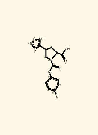 O=C(O)C1CC(c2nnn[nH]2)CN1C(=O)Nc1ccc(Cl)cc1